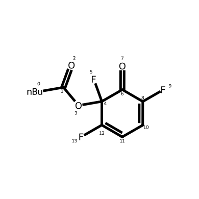 CCCCC(=O)OC1(F)C(=O)C(F)=CC=C1F